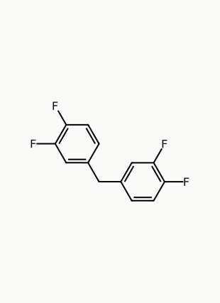 Fc1ccc(Cc2ccc(F)c(F)c2)cc1F